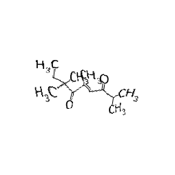 CCC(C)(C)C(=O)/C(C)=C/C(=O)C(C)C